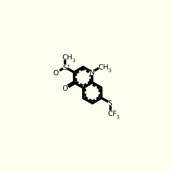 Cn1cc([S+](C)[O-])c(=O)c2ccc(SC(F)(F)F)cc21